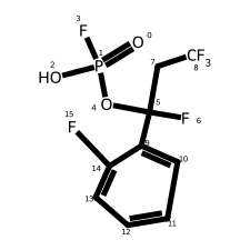 O=P(O)(F)OC(F)(CC(F)(F)F)c1ccccc1F